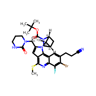 CSc1nc2c(F)c(Br)c(CCC#N)cc2c2c1cc([C@@H](C)N1CCCNC1=O)n2[C@H]1[C@@H]2C[C@H]1N(C(=O)OC(C)(C)C)C2